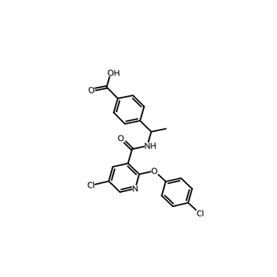 CC(NC(=O)c1cc(Cl)cnc1Oc1ccc(Cl)cc1)c1ccc(C(=O)O)cc1